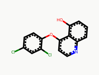 Oc1cccc2nccc(Oc3ccc(Cl)cc3Cl)c12